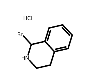 BrC1NCCc2ccccc21.Cl